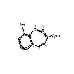 OC1=NOc2c(O)cccc2C=C1